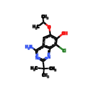 CC(C)Oc1cc2c(N)nc(C(C)(C)C)nc2c(Cl)c1O